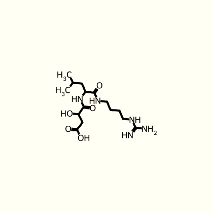 CC(C)CC(NC(=O)C(O)CC(=O)O)C(=O)NCCCCNC(=N)N